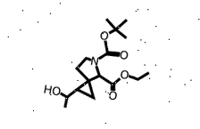 CCOC(=O)C1N(C(=O)OC(C)(C)C)CCC12CC2C(C)O